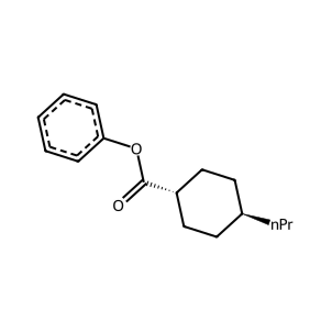 CCC[C@H]1CC[C@H](C(=O)Oc2ccccc2)CC1